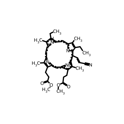 CCC1=C(C)c2cc3[nH]c(cc4nc(cc5[nH]c(c(C)c5CCC(=O)OC)c(C=CC#N)c1n2)C(CCC(=O)OC)=C4C)c(C)c3CC